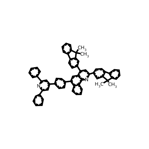 CC1(C)c2ccccc2-c2ccc(-c3cc(-c4ccc5c(c4)C(C)(C)c4ccccc4-5)c4cc(-c5ccc(-c6cc(-c7ccccc7)nc(-c7ccccc7)c6)cc5)c5ccccc5c4n3)cc21